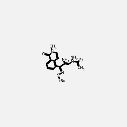 C=C(CC)N(N)/C=C(N)/C(=N/SC(C)(C)C)c1cccc2c(=O)n(C)ccc12